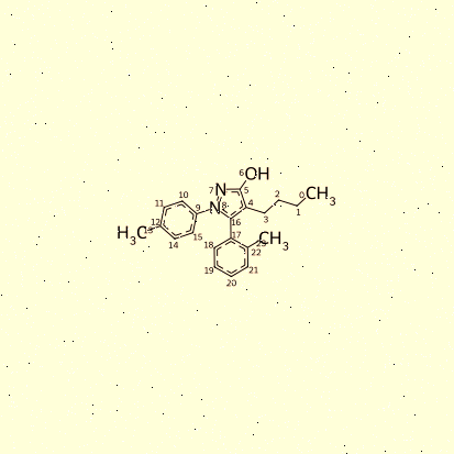 CCCCc1c(O)nn(-c2ccc(C)cc2)c1-c1ccccc1C